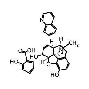 CN1CC[C@]23c4c5ccc(O)c4O[C@H]2[C@@H](O)C=C[C@H]3[C@H]1C5.O=C(O)c1ccccc1O.c1ccc2ncccc2c1